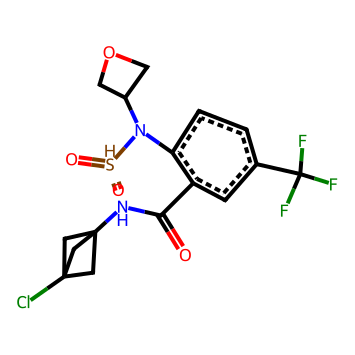 O=C(NC12CC(Cl)(C1)C2)c1cc(C(F)(F)F)ccc1N(C1COC1)[SH](=O)=O